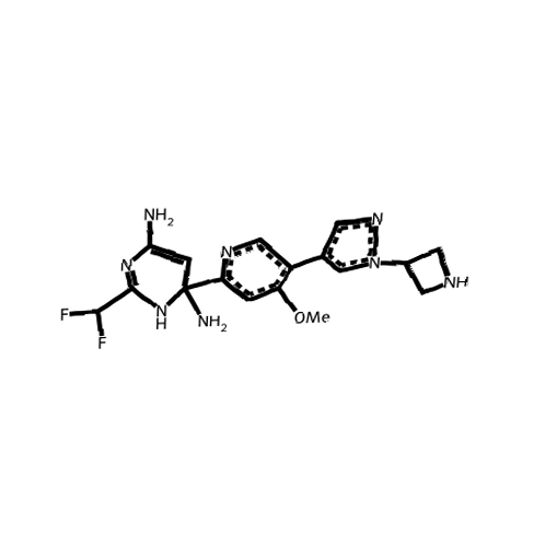 COc1cc(C2(N)C=C(N)N=C(C(F)F)N2)ncc1-c1cnn(C2CNC2)c1